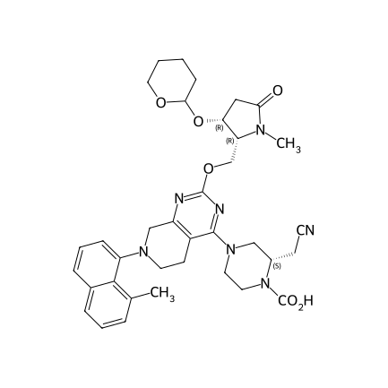 Cc1cccc2cccc(N3CCc4c(nc(OC[C@@H]5[C@H](OC6CCCCO6)CC(=O)N5C)nc4N4CCN(C(=O)O)[C@@H](CC#N)C4)C3)c12